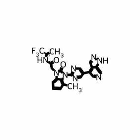 Cc1cccc2c1n(-c1ncc(-c3cncc4[nH]ncc34)cn1)c(=O)n2CC(=O)N[C@H](C)C(F)(F)F